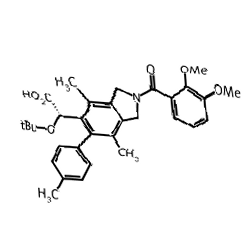 COc1cccc(C(=O)N2Cc3c(C)c(-c4ccc(C)cc4)c([C@H](OC(C)(C)C)C(=O)O)c(C)c3C2)c1OC